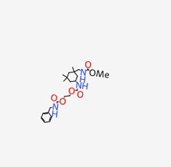 COC(=O)NCC1(C)CC(NC(=O)OCCOC(=O)NCc2ccccc2)CC(C)(C)C1